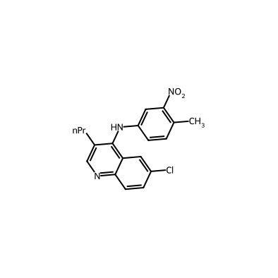 CCCc1cnc2ccc(Cl)cc2c1Nc1ccc(C)c([N+](=O)[O-])c1